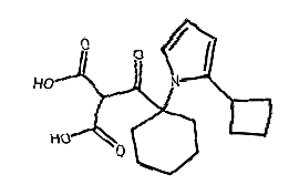 O=C(O)C(C(=O)O)C(=O)C1(n2cccc2C2CCC2)CCCCC1